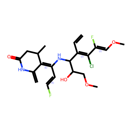 C=C/C(=C(Cl)\C(F)=C\OC)C(NC(/C=C/F)=C1/C(=C)NC(=O)CC1C)C(O)COC